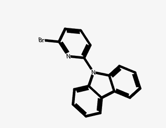 Brc1cccc(-n2c3ccccc3c3ccccc32)n1